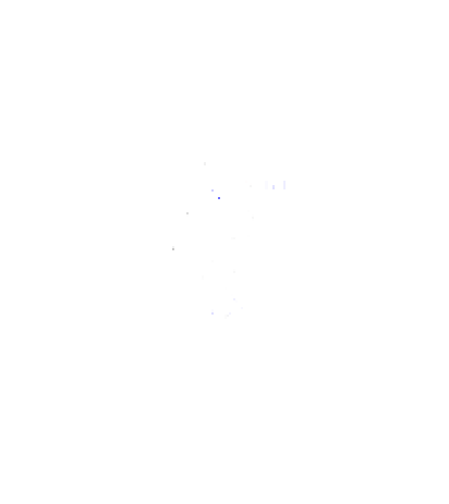 C=CNc1c(C(N)=O)ccc(-c2ccc3c(c2)ncn3C2CCCCC2)c1C(C)CC